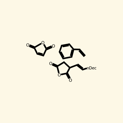 C=Cc1ccccc1.CCCCCCCCCCC=CC1CC(=O)OC1=O.O=C1C=CC(=O)O1